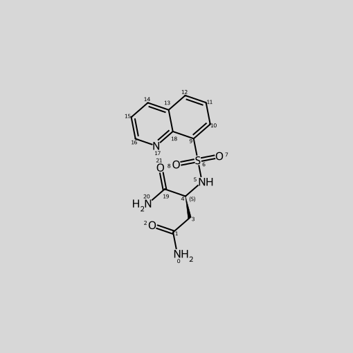 NC(=O)C[C@H](NS(=O)(=O)c1cccc2cccnc12)C(N)=O